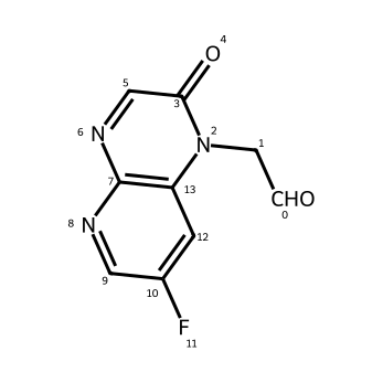 O=CCn1c(=O)cnc2ncc(F)cc21